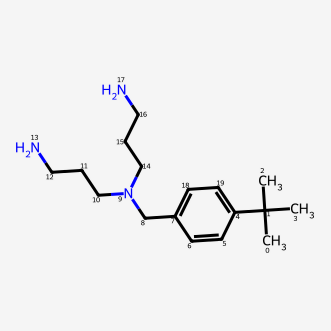 CC(C)(C)c1ccc(CN(CCCN)CCCN)cc1